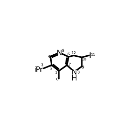 Cc1c(C(C)C)cnc2c1NCC(I)C2